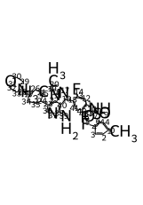 Cc1ccc(F)c(S(=O)(=O)Nc2cc(F)c(-c3nn(C(C)C)c4c(C5CCC(N6CCOCC6)CC5)cnc(N)c34)cc2F)c1